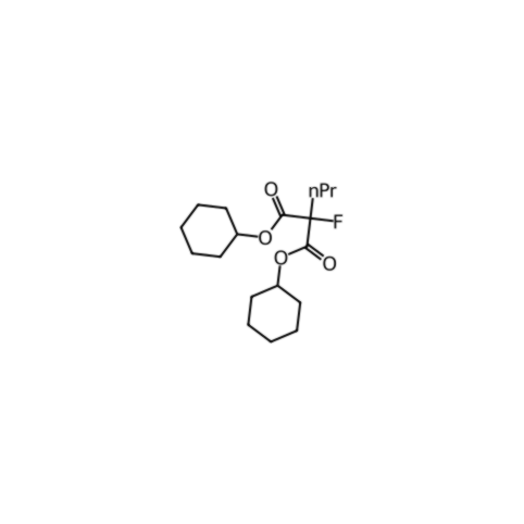 CCCC(F)(C(=O)OC1CCCCC1)C(=O)OC1CCCCC1